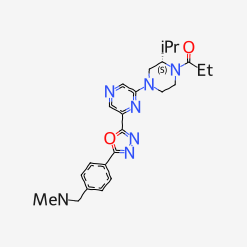 CCC(=O)N1CCN(c2cncc(-c3nnc(-c4ccc(CNC)cc4)o3)n2)C[C@@H]1C(C)C